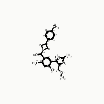 COCc1nc(C)[nH]c1-c1cc(C(=O)N2CC(c3ccc(C)cc3)C2)c(C)cc1C